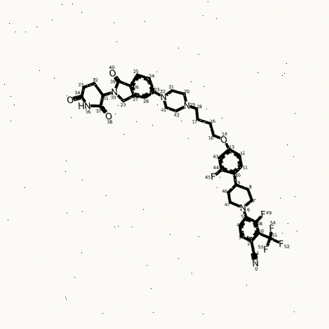 N#Cc1ccc(N2CCC(c3ccc(OCCCCN4CCN(c5ccc6c(c5)CN(C5CCC(=O)NC5=O)C6=O)CC4)cc3F)CC2)c(F)c1C(F)(F)F